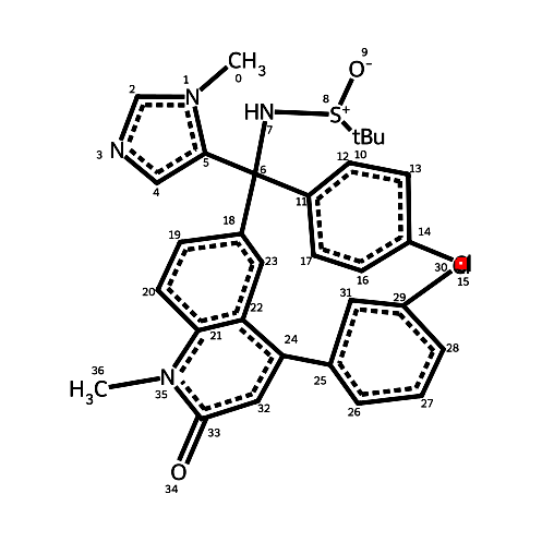 Cn1cncc1C(N[S+]([O-])C(C)(C)C)(c1ccc(Cl)cc1)c1ccc2c(c1)c(-c1cccc(Cl)c1)cc(=O)n2C